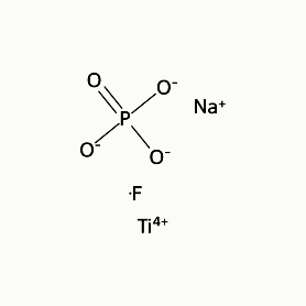 O=P([O-])([O-])[O-].[F].[Na+].[Ti+4]